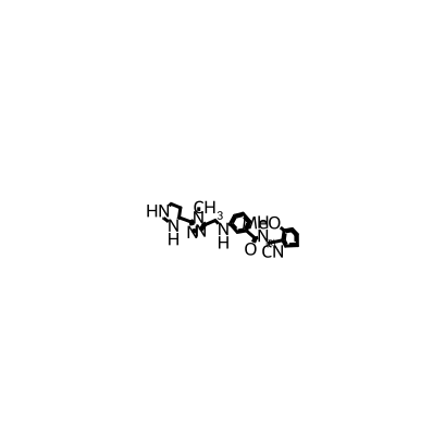 COc1ccccc1[C@H](C#N)NC(=O)c1cccc(NCc2nnc(C3CCNCN3)n2C)c1